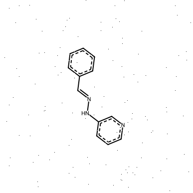 C(=N\Nc1cccnc1)/c1ccccc1